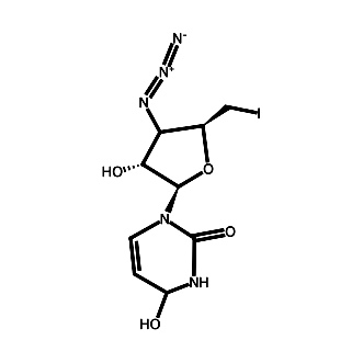 [N-]=[N+]=NC1[C@@H](O)[C@H](N2C=CC(O)NC2=O)O[C@@H]1CI